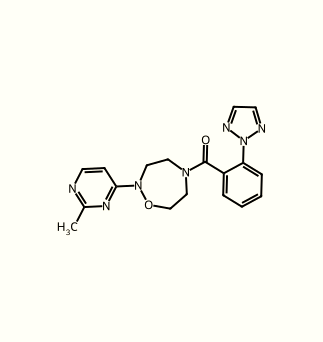 Cc1nccc(N2CCN(C(=O)c3ccccc3-n3nccn3)CCO2)n1